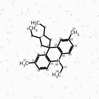 CCCCC1(CCCC)c2cc(C)ccc2N(CC)c2ccc(C)cc21